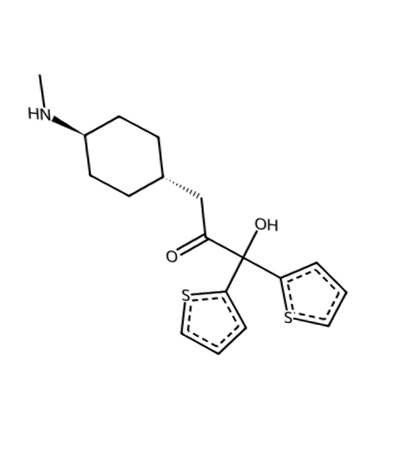 CN[C@H]1CC[C@H](CC(=O)C(O)(c2cccs2)c2cccs2)CC1